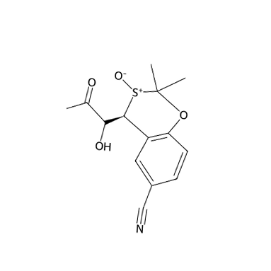 CC(=O)C(O)[C@@H]1c2cc(C#N)ccc2OC(C)(C)[S+]1[O-]